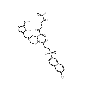 CN=c1scc(CN2CCN(C(=O)CCS(=O)(=O)c3ccc4cc(Cl)ccc4c3)C(C(=O)NCCNC(C)=O)C2)n1C